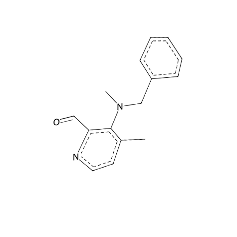 Cc1ccnc(C=O)c1N(C)Cc1ccccc1